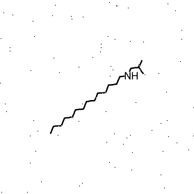 CCCCCCCCCCCCCCNC[C](C)C